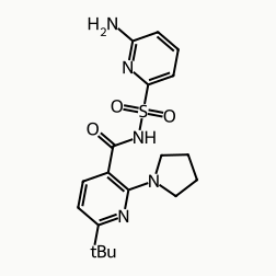 CC(C)(C)c1ccc(C(=O)NS(=O)(=O)c2cccc(N)n2)c(N2CCCC2)n1